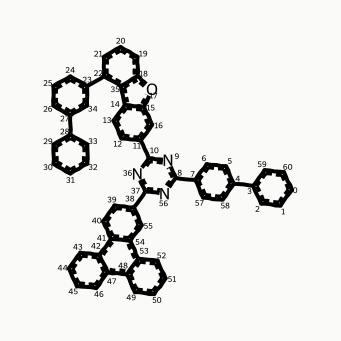 c1ccc(-c2ccc(-c3nc(-c4ccc5c(c4)oc4cccc(-c6cccc(-c7ccccc7)c6)c45)nc(-c4ccc5c6ccccc6c6ccccc6c5c4)n3)cc2)cc1